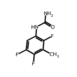 Cc1c(F)c(F)cc(NC(N)=O)c1F